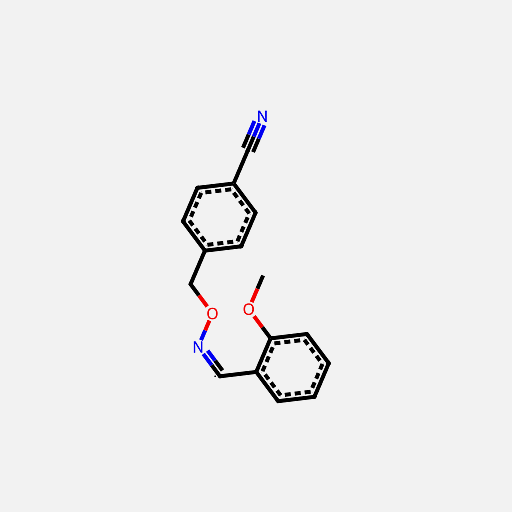 COc1ccccc1/[C]=N\OCc1ccc(C#N)cc1